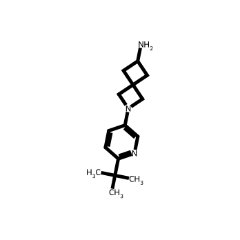 CC(C)(C)c1ccc(N2CC3(CC(N)C3)C2)cn1